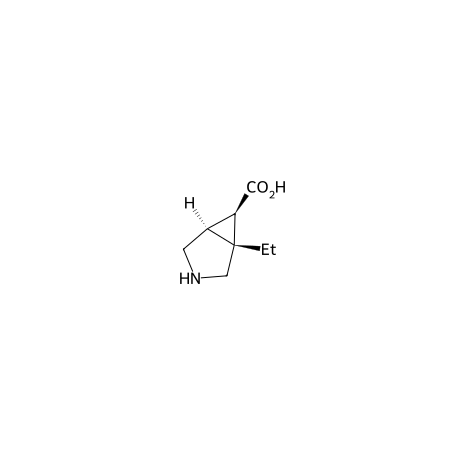 CC[C@@]12CNC[C@H]1[C@H]2C(=O)O